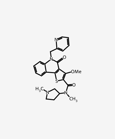 COc1c(C(=O)N(C)C2CCN(C)C2)sc2c1c(=O)n(Cc1ccccn1)c1ccccc21